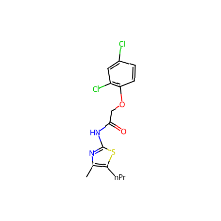 CCCc1sc(NC(=O)COc2ccc(Cl)cc2Cl)nc1C